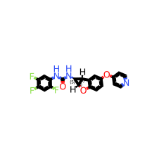 O=C(Nc1cc(F)c(F)cc1F)N[C@@H]1[C@H]2Oc3ccc(Oc4ccncc4)cc3[C@@H]12